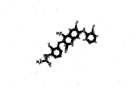 Cc1c(Cc2cccc(N[S+](C)[O-])c2F)c(=O)oc2cc(Oc3ncccc3F)c(F)cc12